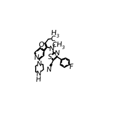 CCc1oc2cnc(N3CCNCC3)cc2c1N(C)c1nc(-c2ccc(F)cc2)c(C#N)s1